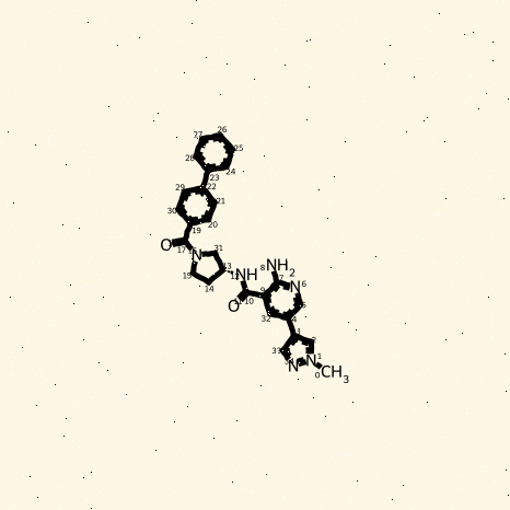 Cn1cc(-c2cnc(N)c(C(=O)N[C@@H]3CCN(C(=O)c4ccc(-c5ccccc5)cc4)C3)c2)cn1